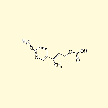 COc1ccc(C(C)=CCOC(=O)O)cn1